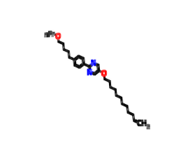 C=CCCCCCCCCCCOc1cnc(-c2ccc(CCCCCOCCC)cc2)nc1